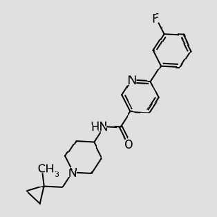 CC1(CN2CCC(NC(=O)c3ccc(-c4cccc(F)c4)nc3)CC2)CC1